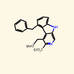 CCOC(=O)c1ncc2[nH]c3cccc(Cc4ccccc4)c3c2c1COC